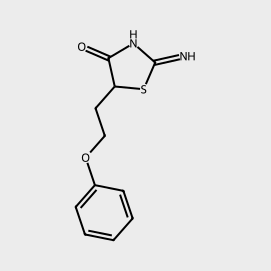 N=C1NC(=O)C(CCOc2ccccc2)S1